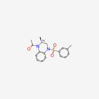 CC(=O)N1c2ccccc2N(S(=O)(=O)c2cccc(C)c2)C[C@@H]1C